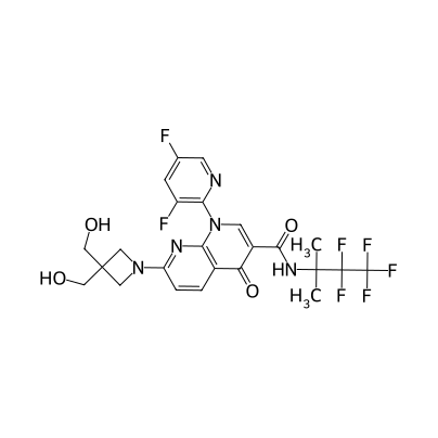 CC(C)(NC(=O)c1cn(-c2ncc(F)cc2F)c2nc(N3CC(CO)(CO)C3)ccc2c1=O)C(F)(F)C(F)(F)F